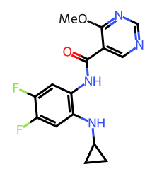 COc1ncncc1C(=O)Nc1cc(F)c(F)cc1NC1CC1